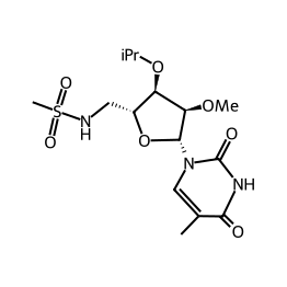 CO[C@@H]1[C@H](OC(C)C)[C@@H](CNS(C)(=O)=O)O[C@H]1n1cc(C)c(=O)[nH]c1=O